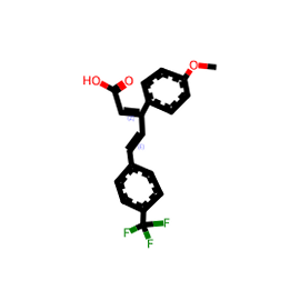 COc1ccc(C(=C\C(=O)O)/C=C/c2ccc(C(F)(F)F)cc2)cc1